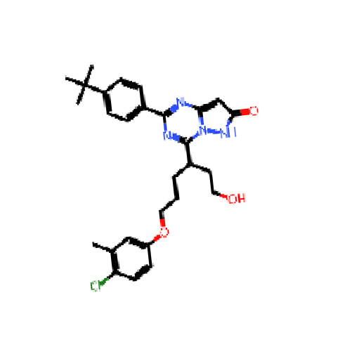 Cc1cc(OCCCC(CCO)c2nc(-c3ccc(C(C)(C)C)cc3)nc3cc(=O)[nH]n23)ccc1Cl